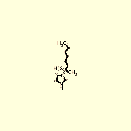 CCCCCC[Si](C)(C)N1CCNC1